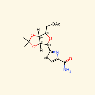 CC(=O)OC[C@H]1O[C@@H](c2nc(C(N)=O)c[se]2)[C@@H]2OC(C)(C)O[C@@H]21